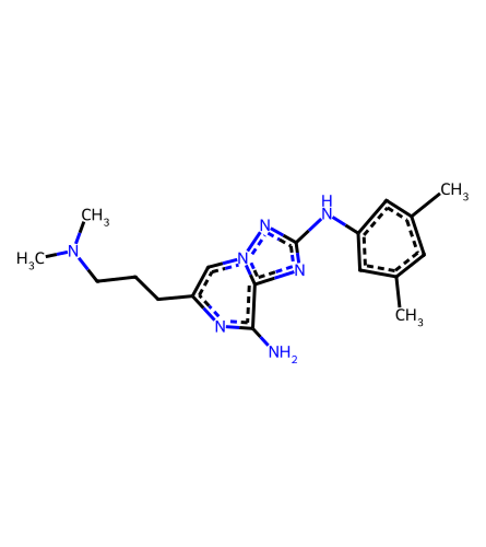 Cc1cc(C)cc(Nc2nc3c(N)nc(CCCN(C)C)cn3n2)c1